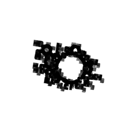 CCC1/C=C(\C)C(F)C(C)CC(OC)C2OC(O)(C(=O)C(=O)N3CCCCC3C(=O)OC(C(C)=CC3CCC(O)C(OC)C3)C(C)C(O[Si](C(C)C)(C(C)C)C(C)C)CC1=O)C(C)CC2OC